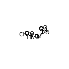 O=C(Cc1cccc(Cl)c1)NC1CCN(CCCN2C(=O)COc3ccccc32)CC1